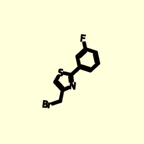 Fc1cccc(-c2nc(CBr)cs2)c1